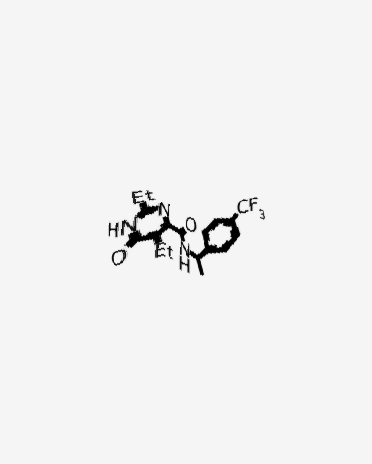 CCc1nc(C(=O)NC(C)c2ccc(C(F)(F)F)cc2)c(CC)c(=O)[nH]1